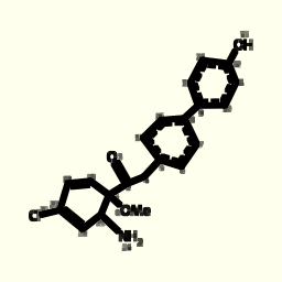 COC1(C(=O)Cc2ccc(-c3ccc(O)cc3)cc2)C=CC(Cl)=CC1N